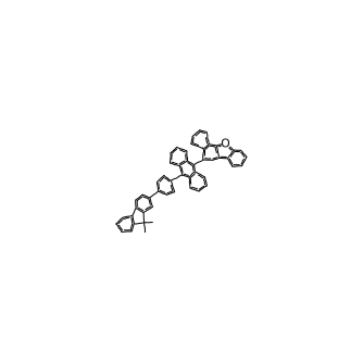 CC1(C)c2ccccc2-c2ccc(-c3ccc(-c4c5ccccc5c(-c5cc6c7ccccc7oc6c6ccccc56)c5ccccc45)cc3)cc21